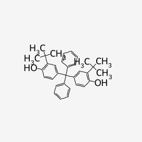 CC(C)(C)c1cc(C(c2ccccc2)(c2ccccc2)c2ccc(O)c(C(C)(C)C)c2)ccc1O